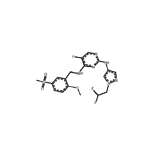 COc1ccc(S(C)(=O)=O)cc1CNc1nc(Nc2cnn(CC(F)F)c2)ncc1F